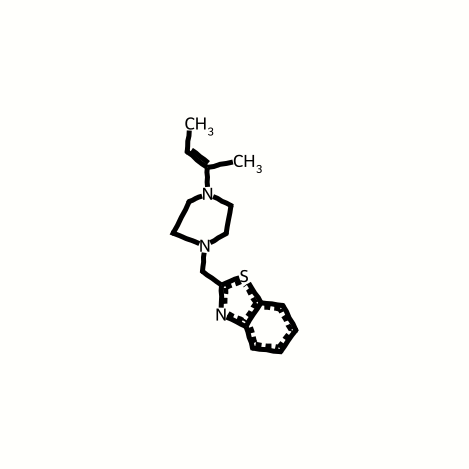 C/C=C(\C)N1CCN(Cc2nc3ccccc3s2)CC1